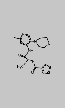 CC(NC(=O)c1cccs1)C(=O)Nc1cc(F)ccc1N1CCNCC1